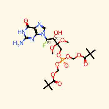 COC(COP(=O)(OCOC(=O)C(C)(C)C)OCOC(=O)C(C)(C)C)(OC)[C@@H](O)[C@@H](F)n1cnc2c(=O)[nH]c(N)nc21